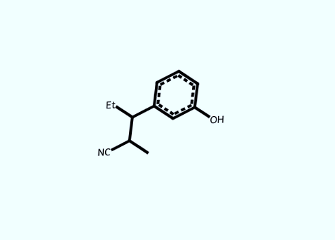 CCC(c1cccc(O)c1)C(C)C#N